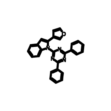 c1ccc(-c2nc(-c3ccccc3)nc(-n3c(-c4ccoc4)cc4ccccc43)n2)cc1